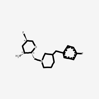 N[C@@H]1C[C@@H](F)CO[C@@H]1CN1CCCC(Cc2ccc(F)cc2)C1